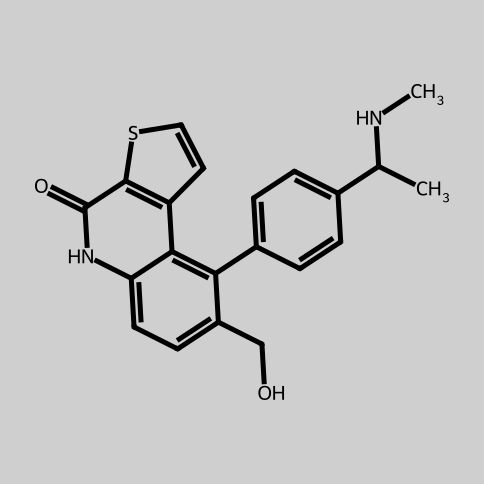 CNC(C)c1ccc(-c2c(CO)ccc3[nH]c(=O)c4sccc4c23)cc1